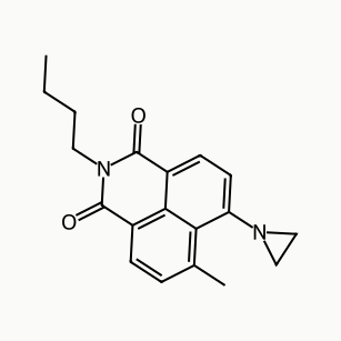 CCCCN1C(=O)c2ccc(C)c3c(N4CC4)ccc(c23)C1=O